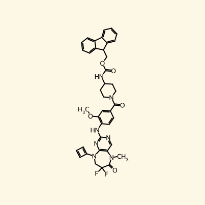 COc1cc(C(=O)N2CCC(NC(=O)OCC3c4ccccc4-c4ccccc43)CC2)ccc1Nc1ncc2c(n1)N(C1=CC=C1)CC(F)(F)C(=O)N2C